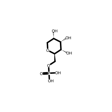 O=P(O)(O)OC[C@H]1OC[C@H](O)[C@H](O)[C@@H]1O